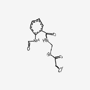 O=CNc1ccccc1C(=O)N[CH2][Sn][C](=O)CCl